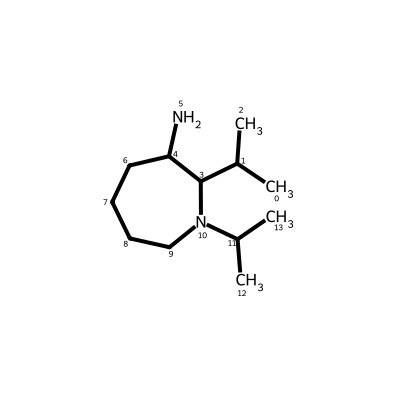 CC(C)C1C(N)CCCCN1C(C)C